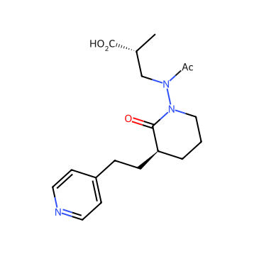 CC(=O)N(C[C@@H](C)C(=O)O)N1CCC[C@@H](CCc2ccncc2)C1=O